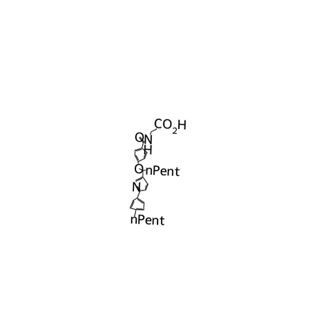 CCCCCc1ccc(-c2ccc(C(CCCCC)Oc3ccc(C(=O)NCCC(=O)O)cc3)cn2)cc1